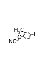 Cc1cc(I)ccc1OCC#N